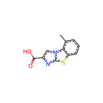 Cc1cccc2sc3nc(C(=O)O)cn3c12